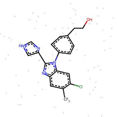 OCCc1ccc(-n2c(-c3c[nH]cn3)nc3cc(C(F)(F)F)c(Cl)cc32)cc1